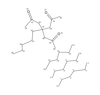 CCCCCC.CCCCCC.CCCCCC.CCCCCC(CC(C)=O)(CC(C)=O)CC(C)=O